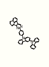 c1cc2c3c(cccc3c1)-c1nc(-c3ccc(-n4c5ccccc5c5cc(-n6c7ccccc7c7ccccc76)ccc54)cc3)ncc1-2